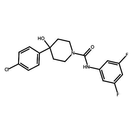 O=C(Nc1cc(F)cc(F)c1)N1CCC(O)(c2ccc(Cl)cc2)CC1